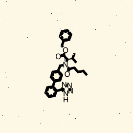 CCCCC(=O)N(Cc1ccc(-c2ccccc2-c2nnn[nH]2)cc1)[C@@H](C(=O)OCc1ccccc1)C(C)C